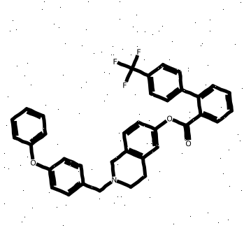 O=C(Oc1ccc2c(c1)CCN(Cc1ccc(Oc3ccccc3)cc1)C2)c1ccccc1-c1ccc(C(F)(F)F)cc1